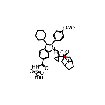 COc1ccc(-c2c(C3CCCCC3)c3ccc(C(=O)NS(=O)(=O)C(C)(C)C)cc3n2CC2(C(=O)N3C4CCC3CN(C)C4)CC2)cc1